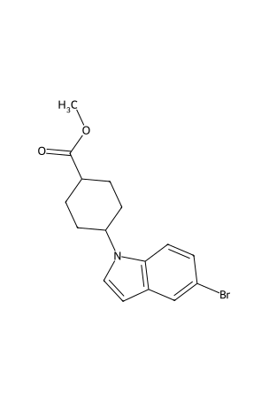 COC(=O)C1CCC(n2ccc3cc(Br)ccc32)CC1